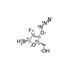 B[C@@H]1O[C@H](CO)C(ON=[N+]=[N-])=C1F